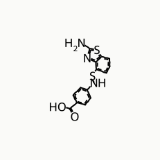 Nc1nc2c(SNc3ccc(C(=O)O)cc3)cccc2s1